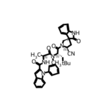 C[C@H](NC(=O)c1cc2ccccc2n1-c1ccccc1)C(=O)N(C)[C@@H](CC(C)(C)C)C(=O)N1C[C@]2(C[C@H]1C#N)C(=O)Nc1ccccc12